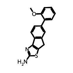 COc1ccccc1-c1ccc2c(c1)Cc1sc(N)nc1-2